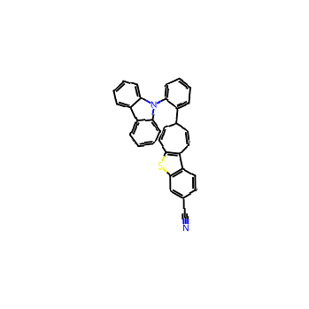 N#Cc1ccc2c3c(sc2c1)C=CC(c1ccccc1-n1c2ccccc2c2ccccc21)C=C3